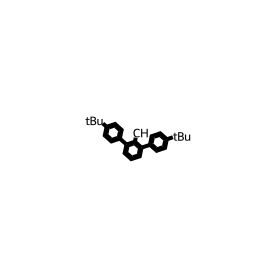 Cc1c(-c2ccc(C(C)(C)C)cc2)cccc1-c1ccc(C(C)(C)C)cc1